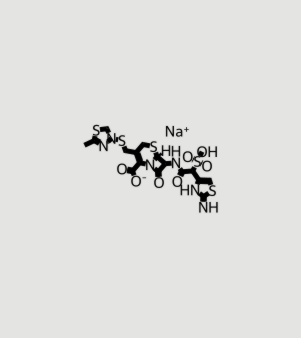 CC1=NN(SCC2=C(C(=O)[O-])N3C(=O)C(NC(=O)C(c4csc(=N)[nH]4)S(=O)(=O)O)[C@H]3SC2)CS1.[Na+]